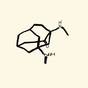 CNC12CC3CC(C1)C(=O)C(NC)(C3)C2